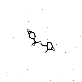 CC1C(COC(=O)C2CCC3OC3C2)CCC2OC21